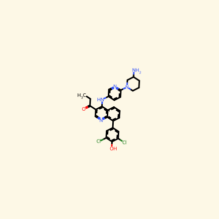 CCC(=O)c1cnc2c(-c3cc(Cl)c(O)c(Cl)c3)cccc2c1Nc1ccc(N2CCCC(N)C2)nc1